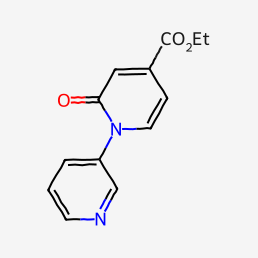 CCOC(=O)c1ccn(-c2cccnc2)c(=O)c1